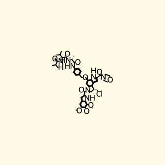 COc1cc2cc(C(=O)N3C[C@@H](CCl)c4c3cc(OCc3ccc(NC(=O)[C@@H](C)NC(=O)C(NC(=O)C(C)C)C(C)C)cc3)c3[nH]c(C(=O)N5CCOCC5)cc43)[nH]c2c(OC)c1OC